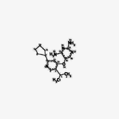 CC(C)c1cnc(C2CCCC2)cc1Oc1cnc(N)nc1N